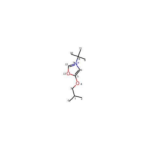 CC(C)COc1c[n+](C(C)(C)C)co1